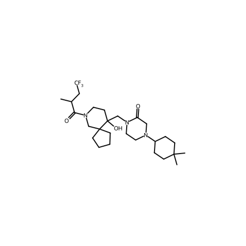 CC(CC(F)(F)F)C(=O)N1CCC(O)(CN2CCN(C3CCC(C)(C)CC3)CC2=O)C2(CCCC2)C1